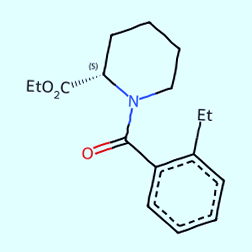 CCOC(=O)[C@@H]1CCCCN1C(=O)c1ccccc1CC